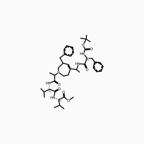 COC(=O)[C@@H](NC(=O)[C@@H](NC(=O)C(C)N1CCC(C(C)NC(=O)[C@H](Cc2ccccc2)NC(=O)OC(C)(C)C)=CC(Cc2ccccc2)C1)C(C)C)C(C)C